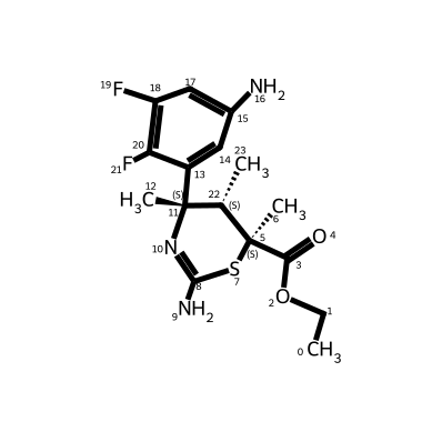 CCOC(=O)[C@@]1(C)SC(N)=N[C@](C)(c2cc(N)cc(F)c2F)[C@@H]1C